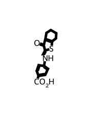 O=C1C2=C(CCCC2)S/C1=C\Nc1ccc(C(=O)O)cc1